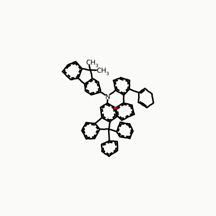 CC1(C)c2ccccc2-c2ccc(N(c3ccc4c(c3)-c3ccccc3C4(c3ccccc3)c3ccccc3)c3cccc(C4=CCCC=C4)c3-c3ccccc3)cc21